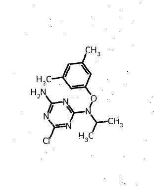 Cc1cc(C)cc(ON(c2nc(N)nc(Cl)n2)C(C)C)c1